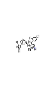 CCn1/c(=N\C)sc2c(-c3ccc(Cl)cc3F)nc(N3C[C@@H](C)O[C@@H](c4c[nH]nc4C4CC4)C3)nc21